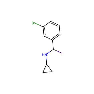 Brc1cccc(C(I)NC2CC2)c1